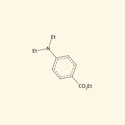 CCOC(=O)c1ccc(N(CC)CC)cc1